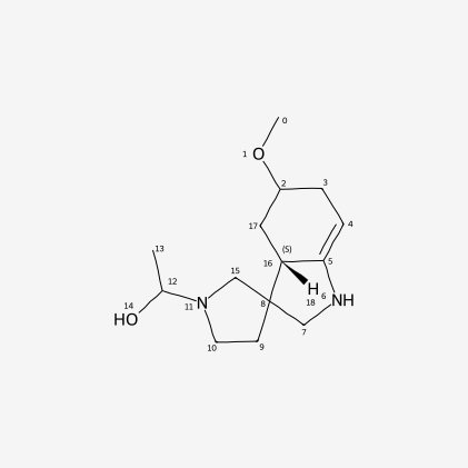 COC1CC=C2NCC3(CCN(C(C)O)C3)[C@@H]2C1